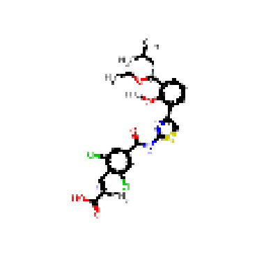 CCO[C@H](CC(C)C)c1cccc(-c2csc(NC(=O)c3cc(Cl)c(/C=C(\C)C(=O)O)c(Cl)c3)n2)c1OC